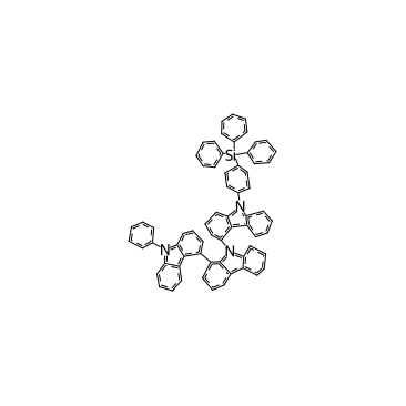 c1ccc(-n2c3ccccc3c3c(-c4cccc5c6ccccc6n(-c6cccc7c6c6ccccc6n7-c6ccc([Si](c7ccccc7)(c7ccccc7)c7ccccc7)cc6)c45)cccc32)cc1